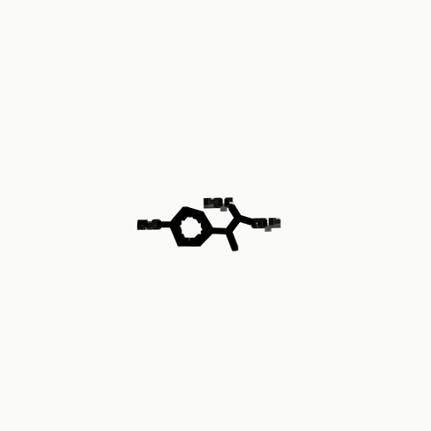 CCOC(=O)C(C(=O)OCC)C(C)c1ccc(OC)cc1